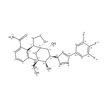 NC(=O)c1cccc(OC(F)(F)F)c1[C@H]1CCO[C@]12O[C@H](CO)[C@H](O)[C@H](n1cc(-c3cc(F)c(F)c(F)c3)nn1)[C@H]2O